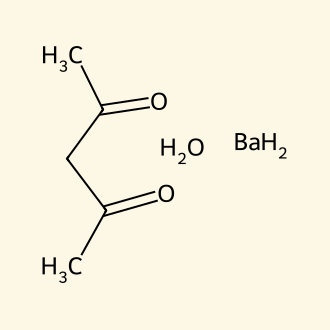 CC(=O)CC(C)=O.O.[BaH2]